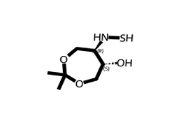 CC1(C)OC[C@@H](O)[C@H](NS)CO1